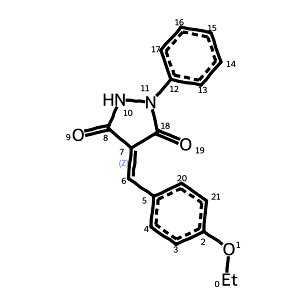 CCOc1ccc(/C=C2/C(=O)NN(c3ccccc3)C2=O)cc1